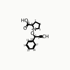 C#CC(ON1CCCC1C(=O)O)c1ccccc1